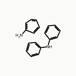 Nc1ccccc1.c1ccc(Nc2ccccc2)cc1